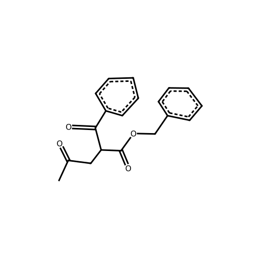 CC(=O)CC(C(=O)OCc1ccccc1)C(=O)c1ccccc1